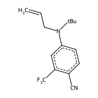 C=CCN(c1ccc(C#N)c(C(F)(F)F)c1)C(C)(C)C